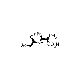 C=C(C(=O)O)C(CCC)NC(=O)CC(C)=O